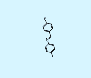 Cc1ccc(N=Cc2ccc(F)cc2)cc1